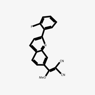 COC(=C(C#N)C#N)c1ccc2ccc(-c3ccccc3F)nc2c1